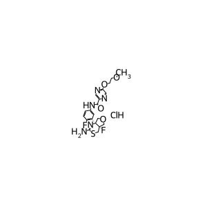 COCCOc1cnc(C(=O)Nc2ccc(F)c([C@]34COC[C@@]3(F)CSC(N)=N4)c2)cn1.Cl